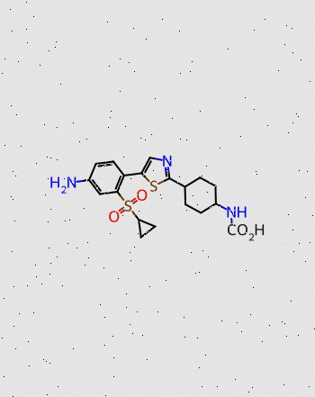 Nc1ccc(-c2cnc(C3CCC(NC(=O)O)CC3)s2)c(S(=O)(=O)C2CC2)c1